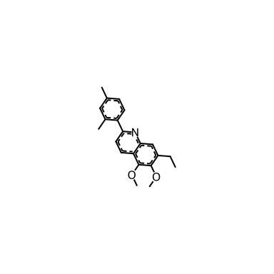 CCc1cc2nc(-c3ccc(C)cc3C)ccc2c(OC)c1OC